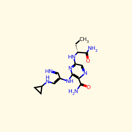 CC[C@@H](Nc1cnc(C(N)=O)c(N/C(C=N)=C/NC2CC2)n1)C(N)=O